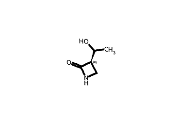 CC(O)[C@H]1CNC1=O